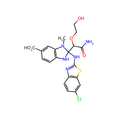 CN1c2cc(C(=O)O)ccc2NC1(Nc1nc2ccc(Cl)cc2s1)C(OCCO)C(N)=O